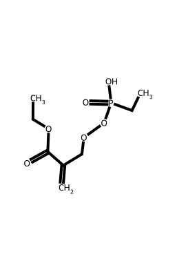 C=C(COOP(=O)(O)CC)C(=O)OCC